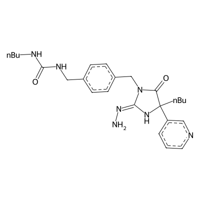 CCCCNC(=O)NCc1ccc(CN2C(=O)C(CCCC)(c3cccnc3)NC2=NN)cc1